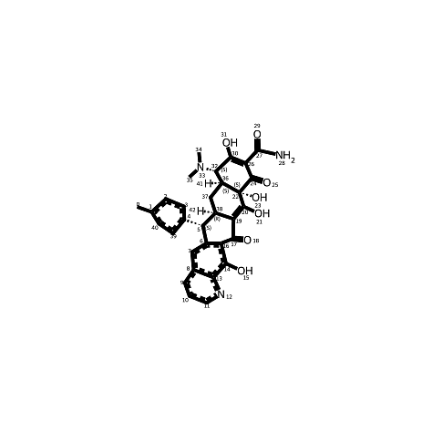 Cc1ccc([C@H]2c3cc4cccnc4c(O)c3C(=O)C3=C(O)[C@]4(O)C(=O)C(C(N)=O)=C(O)[C@@H](N(C)C)[C@@H]4C[C@@H]32)cc1